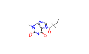 CCC(C)(C)C(=O)n1cnc2c1C(=O)[N]C(=O)N2C